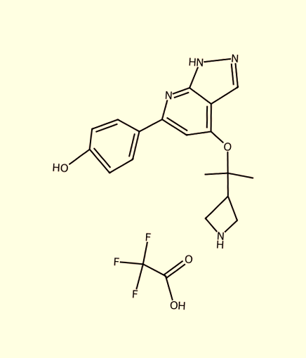 CC(C)(Oc1cc(-c2ccc(O)cc2)nc2[nH]ncc12)C1CNC1.O=C(O)C(F)(F)F